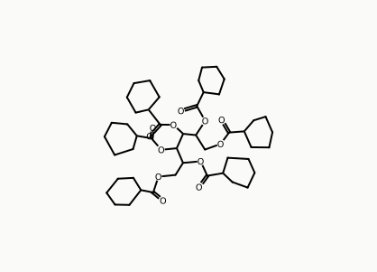 O=C(OCC(OC(=O)C1CCCCC1)C(OC(=O)C1CCCCC1)C(OC(=O)C1CCCCC1)C(COC(=O)C1CCCCC1)OC(=O)C1CCCCC1)C1CCCCC1